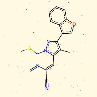 C=N/C(C#N)=C\c1c(C)c(-c2coc3ccccc23)nn1CSC